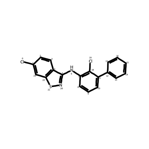 Clc1ccc2c(Nc3cccc(-c4ccccc4)c3Cl)nsc2c1